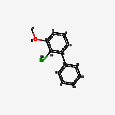 COc1cccc(-c2ccccc2)c1Br